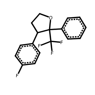 Fc1ccc(C2CCOC2(c2ccccc2)C(F)(F)F)cc1